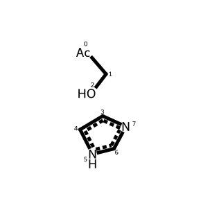 CC(=O)CO.c1c[nH]cn1